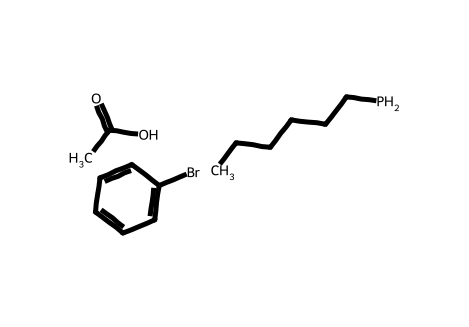 Brc1ccccc1.CC(=O)O.CCCCCCP